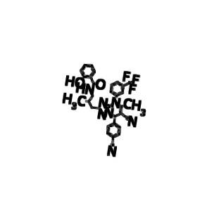 CC1=C(C#N)[C@@H](c2ccc(C#N)cc2)n2nc(CC(C)CNC(=O)c3ccccc3O)nc2N1c1cccc(C(F)(F)F)c1